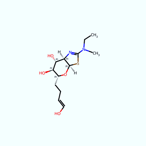 CCN(C)C1=N[C@@H]2[C@@H](O)[C@H](O)[C@@H](CCC=CO)O[C@@H]2S1